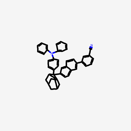 N#Cc1cccc(-c2ccc3cc(C4(c5ccc(N(c6ccccc6)c6ccccc6)cc5)C5CC6CC(C5)CC4C6)ccc3c2)c1